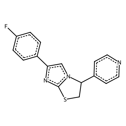 Fc1ccc(-c2cn3c(n2)SCC3c2ccncc2)cc1